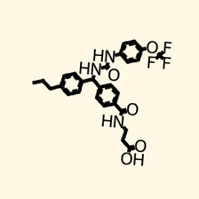 CCCc1ccc(C(NC(=O)Nc2ccc(OC(F)(F)F)cc2)c2ccc(C(=O)NCCC(=O)O)cc2)cc1